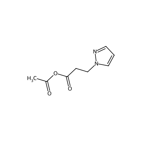 CC(=O)OC(=O)CCn1cccn1